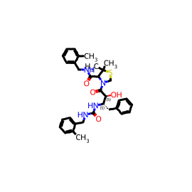 Cc1ccccc1CNC(=O)N[C@@H](Cc1ccccc1)[C@H](O)C(=O)N1CSC(C)(C)C1C(=O)NCc1ccccc1C